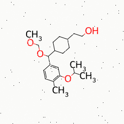 COCOC(c1ccc(C)c(OC(C)C)c1)C1CCC(CCO)CC1